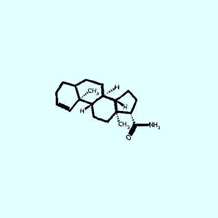 C[C@]12CC[C@H]3[C@@H](CCC4CCC=C[C@@]43C)[C@@H]1CC[C@@H]2C(N)=O